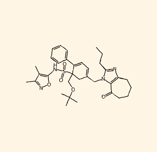 CCCc1nc2c(n1CC1=CC=C(c3ccccc3)C(COC(C)(C)C)(S(=O)(=O)Nc3onc(C)c3C)C1)C(=O)CCCC2